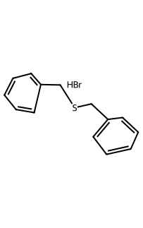 Br.c1ccc(CSCc2ccccc2)cc1